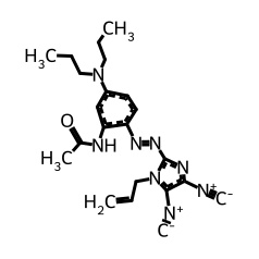 [C-]#[N+]c1nc(N=Nc2ccc(N(CCC)CCC)cc2NC(C)=O)n(CC=C)c1[N+]#[C-]